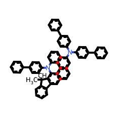 CC1(C)c2ccccc2-c2ccc(-c3ccc(N(c4ccc(-c5ccccc5)cc4)c4ccc(-c5ccccc5)cc4)cc3)c(N(c3ccc(-c4ccccc4)cc3)c3ccccc3-c3ccccc3)c21